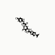 C=C(C)N1CC2N=C(C(=O)NC(CNC(=O)C(=O)Nc3ccc(Cl)cn3)C(=O)N(C)C)SC2C1